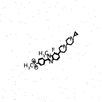 Cn1c(-c2ccc(S(C)(=O)=O)cc2)nc2ccc(C3CCN(C4CCN(C5CC5)CC4)CC3)c(F)c21